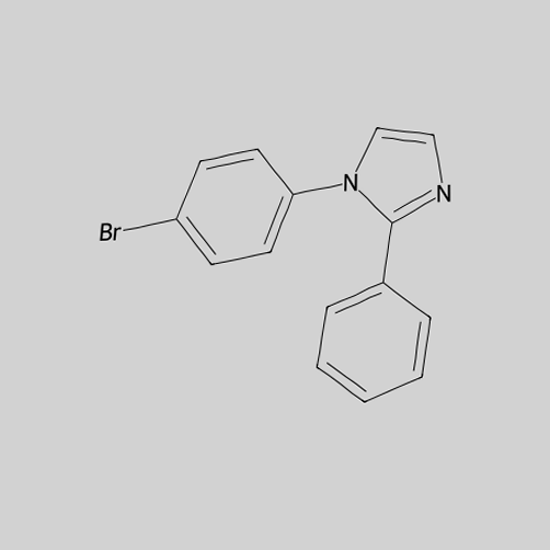 Brc1ccc(-n2ccnc2-c2ccccc2)cc1